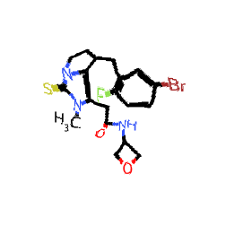 Cn1c(CC(=O)NC2COC2)c2n(c1=S)CCC2Cc1cc(Br)ccc1F